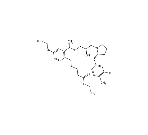 CCOC(=O)CCCCc1ccc(OCC)cc1[C@@H](C)OC[C@H](O)CN1CCC[C@H]1Cc1ccc(C)c(F)c1